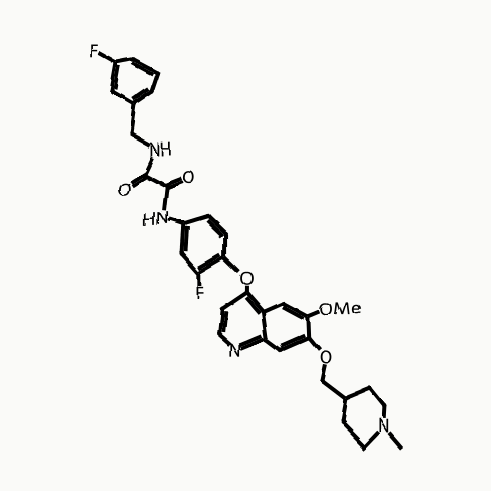 COc1cc2c(Oc3ccc(NC(=O)C(=O)NCc4cccc(F)c4)cc3F)ccnc2cc1OCC1CCN(C)CC1